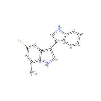 O=[N+]([O-])c1cc(F)cc2c(-c3c[nH]c4ccccc34)[c][nH]c12